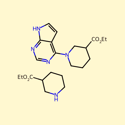 CCOC(=O)C1CCCN(c2ncnc3[nH]ccc23)C1.CCOC(=O)C1CCCNC1